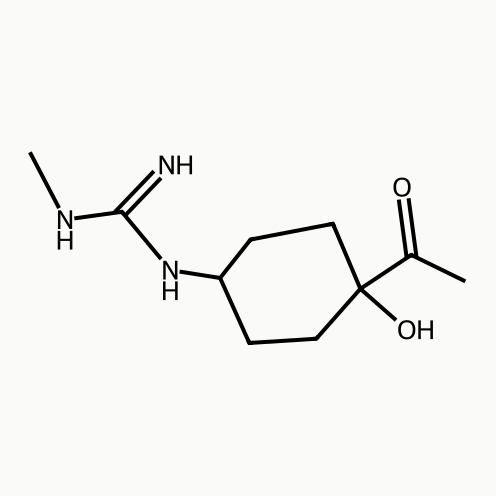 CNC(=N)NC1CCC(O)(C(C)=O)CC1